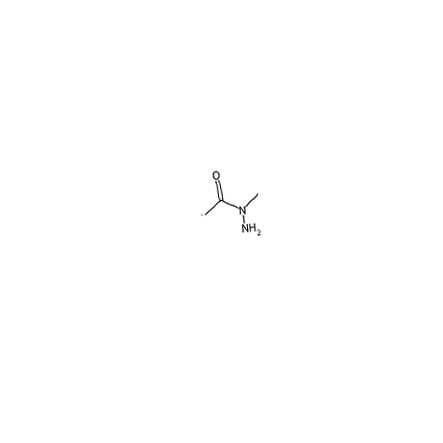 [CH2]C(=O)N(C)N